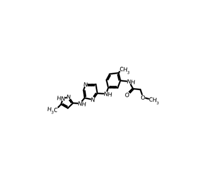 COCC(=O)Nc1cc(Nc2cncc(Nc3cc(C)[nH]n3)n2)ccc1C